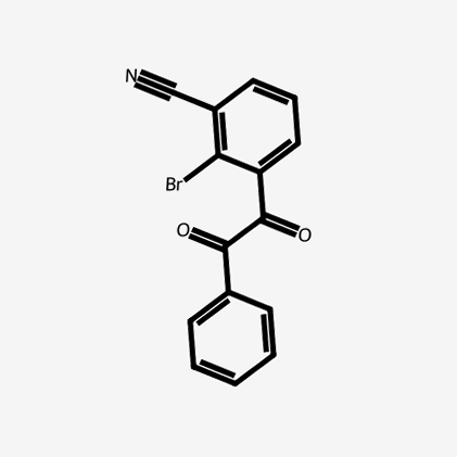 N#Cc1cccc(C(=O)C(=O)c2ccccc2)c1Br